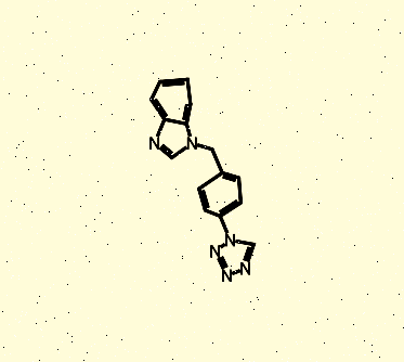 c1ccc2c(c1)ncn2Cc1ccc(-n2cnnn2)cc1